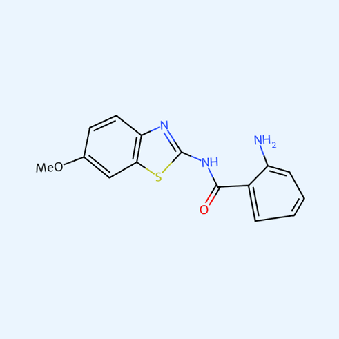 COc1ccc2nc(NC(=O)c3ccccc3N)sc2c1